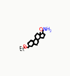 CCOCC1CCC2C(CCC3C2CCC2(C)C(C(N)=O)CCC32)C1